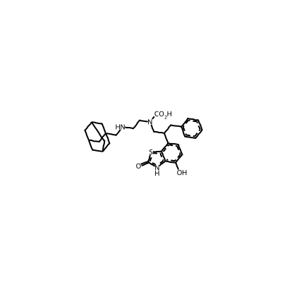 O=C(O)N(CCNCC12CC3CC(CC(C3)C1)C2)CC(Cc1ccccc1)c1ccc(O)c2[nH]c(=O)sc12